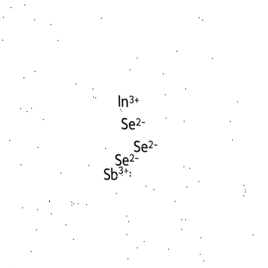 [In+3].[Sb+3].[Se-2].[Se-2].[Se-2]